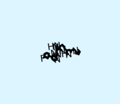 Fc1cccc(-c2ccnc3[nH]c(-c4n[nH]c5ccc(-c6cncc(CN7CCCC7)c6)nc45)nc23)c1